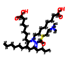 CCCCCCC(CCCCCC)C(CCCCCCC(=O)O)N(CCCCCCCC(=O)O)NC(=O)SCCN(C)C